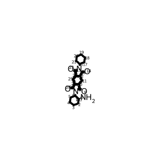 N[C@@H]1CCCC[C@H]1n1c(=O)c2cc3c(=O)n(C4CCCCC4)c(=O)c3cc2c1=O